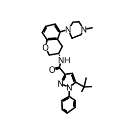 CN1CCN(c2cccc3c2C[C@H](NC(=O)c2cc(C(C)(C)C)n(-c4ccccc4)n2)CO3)CC1